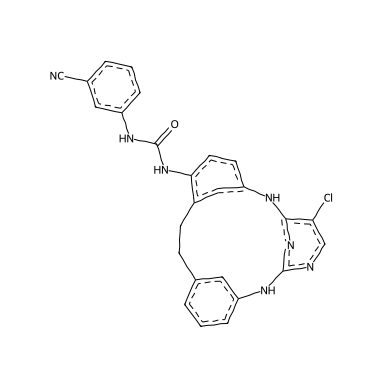 N#Cc1cccc(NC(=O)Nc2ccc3cc2CCc2cccc(c2)Nc2ncc(Cl)c(n2)N3)c1